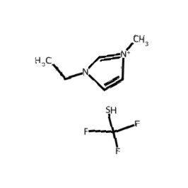 CCn1cc[n+](C)c1.FC(F)(F)S